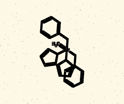 [CH2]=[Zr]([CH2]c1ccccc1)([CH2]c1ccccc1)([CH]1C=CC=C1)[CH]1C=CC=C1